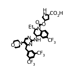 CC[C@@H]1C[C@H](Nc2ncc(N3CCOCC3)c(Cc3cc(C(F)(F)F)cc(C(F)(F)F)c3)n2)c2cc(C(F)(F)F)ccc2N1C(=O)O[C@H]1CN[C@H](C(=O)O)C1